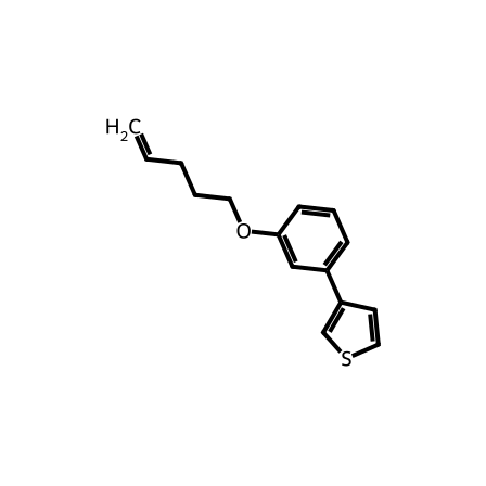 C=CCCCOc1cccc(-c2ccsc2)c1